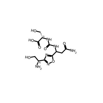 NC(=O)CC(NC(=O)N[C@@H](CO)C(=O)O)c1nc([C@@H](N)CO)no1